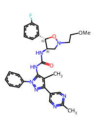 COCCN1C[C@@H](NC(=O)Nc2c(C)c(-c3cnc(C)nc3)nn2-c2ccccc2)[C@H](c2cccc(F)c2)O1